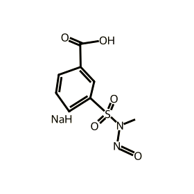 CN(N=O)S(=O)(=O)c1cccc(C(=O)O)c1.[NaH]